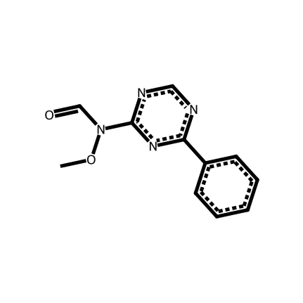 CON(C=O)c1ncnc(-c2ccccc2)n1